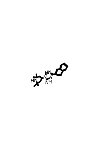 CN(C(=N)SC(=N)c1ccc2ccccc2c1)C1CC(C)(C)NC(C)(C)C1